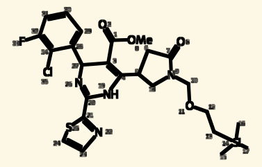 COC(=O)C1=C(C2CC(=O)N(COCC[Si](C)(C)C)C2)NC(c2nccs2)=NC1c1cccc(F)c1Cl